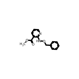 COC(=O)c1cccnc1NOCc1ccccc1